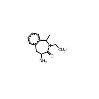 CC1c2ccccc2CC(N)C(=O)N1CC(=O)O